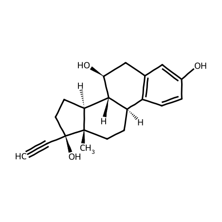 C#C[C@]1(O)CC[C@H]2[C@H]3[C@H](CC[C@@]21C)c1ccc(O)cc1C[C@@H]3O